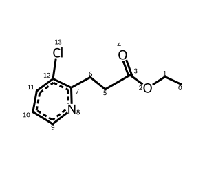 CCOC(=O)CCc1ncccc1Cl